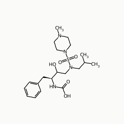 CC(C)CN(CC(O)[C@H](Cc1ccccc1)NC(=O)O)S(=O)(=O)N1CCN(C)CC1